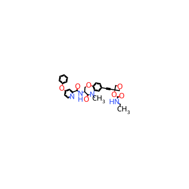 CCNC(=O)OC1(C#Cc2ccc3c(c2)N(C)C(=O)[C@@H](NC(=O)c2cc(Oc4ccccc4)ccn2)CO3)COC1